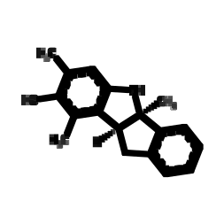 Cc1cc2c(c(C)c1O)[C@@H]1Cc3ccccc3[C@]1(C)N2